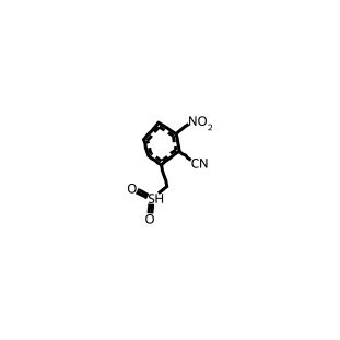 N#Cc1c(C[SH](=O)=O)cccc1[N+](=O)[O-]